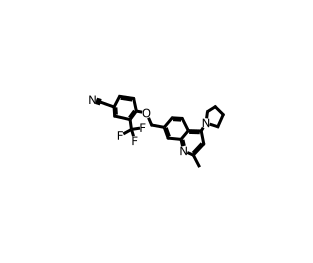 Cc1cc(N2CCCC2)c2ccc(COc3ccc(C#N)cc3C(F)(F)F)cc2n1